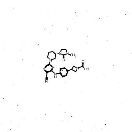 CN1CCN([C@@H]2CCCN(c3cnc(C#N)c(Nc4ccc(C5CN(C(=O)O)C5)cc4)n3)C2)C1=O